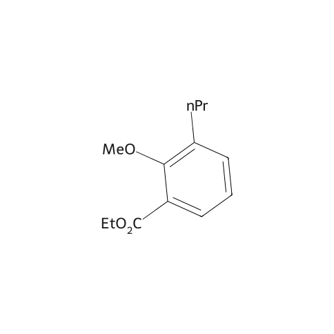 CCCc1cccc(C(=O)OCC)c1OC